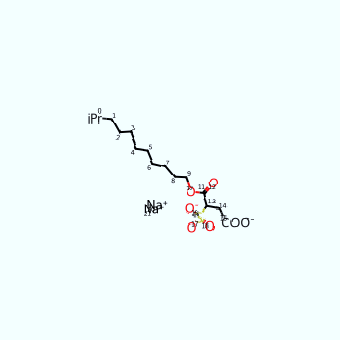 CC(C)CCCCCCCCCOC(=O)C(CC(=O)[O-])S(=O)(=O)[O-].[Na+].[Na+]